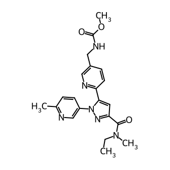 CCN(C)C(=O)c1cc(-c2ccc(CNC(=O)OC)cn2)n(-c2ccc(C)nc2)n1